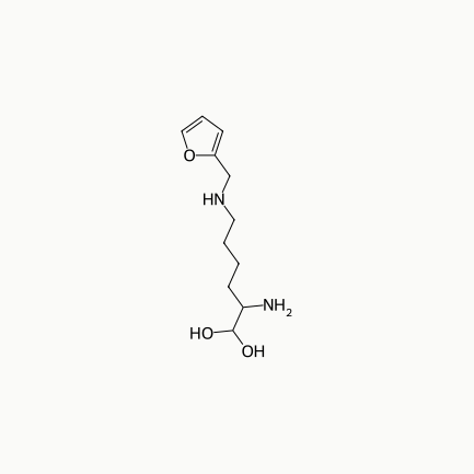 NC(CCCCNCc1ccco1)C(O)O